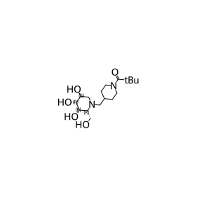 CC(C)(C)C(=O)N1CCC(CN2C[C@H](O)[C@@H](O)[C@H](O)[C@H]2CO)CC1